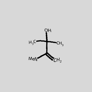 C=C(NC)C(C)(C)O